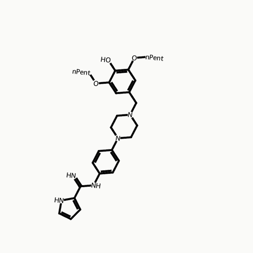 CCCCCOc1cc(CN2CCN(c3ccc(NC(=N)c4ccc[nH]4)cc3)CC2)cc(OCCCCC)c1O